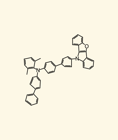 Cc1cccc(C)c1N(c1ccc(-c2ccccc2)cc1)c1ccc(-c2ccc(-n3c4ccccc4c4oc5ccccc5c43)cc2)cc1